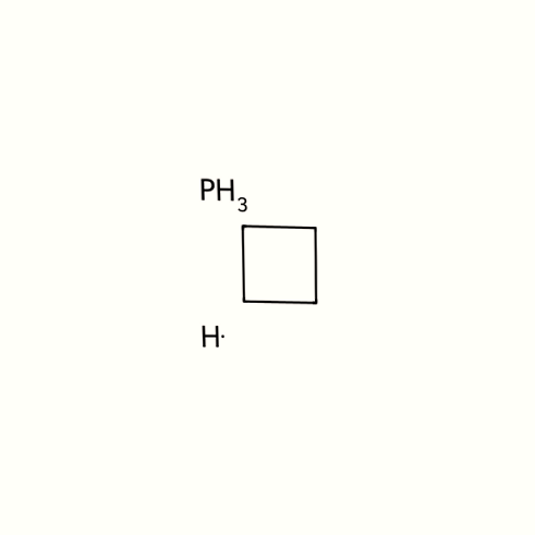 C1CCC1.P.[H]